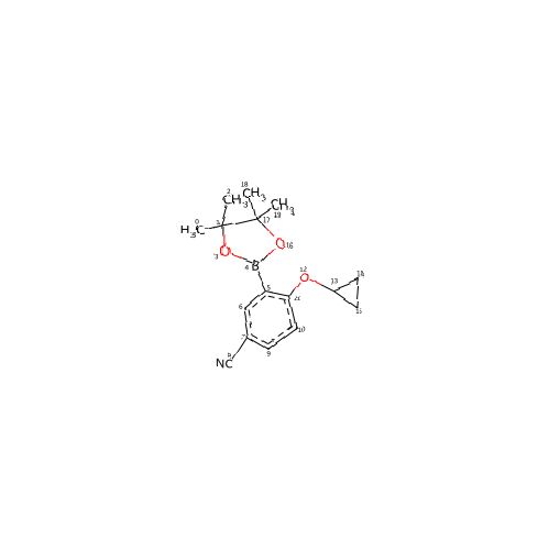 CC1(C)OB(c2cc(C#N)ccc2OC2CC2)OC1(C)C